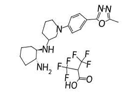 Cc1nnc(-c2ccc(N3CCCC(N[C@@H]4CCCC[C@H]4N)C3)cc2)o1.O=C(O)C(C(F)(F)F)C(F)(F)F